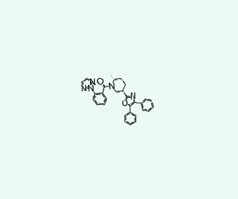 C[C@@H]1CC[C@@H](c2nc(-c3ccccc3)c(-c3ccccc3)o2)CN1C(=O)c1ccccc1-n1nccn1